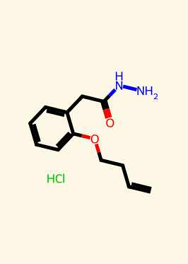 C=CCCOc1ccccc1CC(=O)NN.Cl